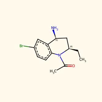 CC[C@@H]1C[C@H](N)c2cc(Br)ccc2N1C(C)=O